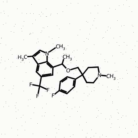 Cc1cn(C)c2c(C(C)OCC3(c4ccc(F)cc4)CCN(C)CC3)cc(C(F)(F)F)cc12